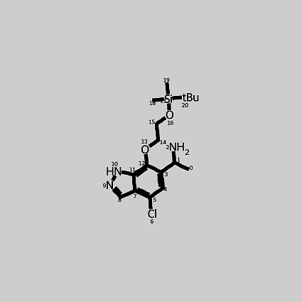 CC(N)c1cc(Cl)c2cn[nH]c2c1OCCO[Si](C)(C)C(C)(C)C